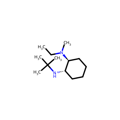 CCN(C)[C@H]1CCCC[C@@H]1NC(C)(C)C